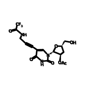 CC(=O)O[C@@H]1C[C@@H](CO)O[C@H]1n1cc(C#CCNC(=O)C(F)(F)F)c(=O)[nH]c1=O